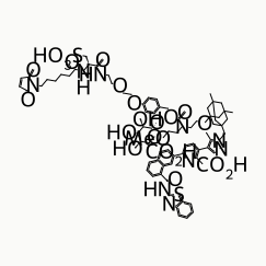 COCCN(CCOC12CC3(C)CC(C)(CC(Cn4ncc(-c5ccc(-c6ccc7cccc(C(=O)Nc8nc9ccccc9s8)c7c6)nc5C(=O)O)c4C)(C3)C1)C2)C(=O)OCc1ccc(OCCOCCNC(=O)[C@H](CS(=O)(=O)O)NC(=O)CCCCCN2C(=O)C=CC2=O)cc1O[C@@H]1O[C@H](C(=O)O)[C@@H](O)[C@H](O)[C@H]1O